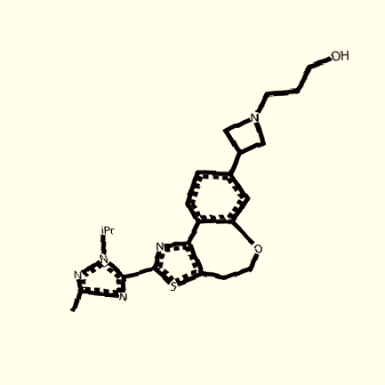 Cc1nc(-c2nc3c(s2)CCOc2cc(C4CN(CCCO)C4)ccc2-3)n(C(C)C)n1